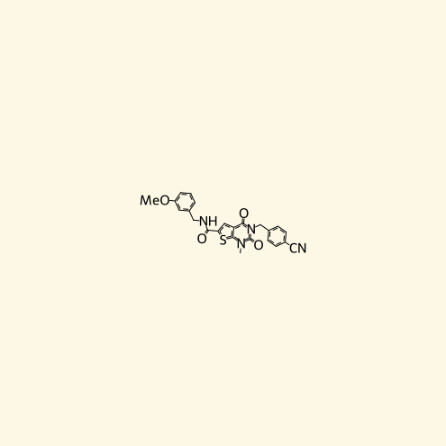 COc1cccc(CNC(=O)c2cc3c(=O)n(Cc4ccc(C#N)cc4)c(=O)n(C)c3s2)c1